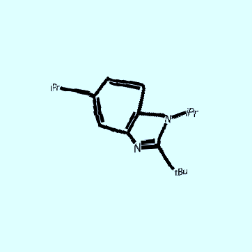 CC(C)c1ccc2c(c1)nc(C(C)(C)C)n2C(C)C